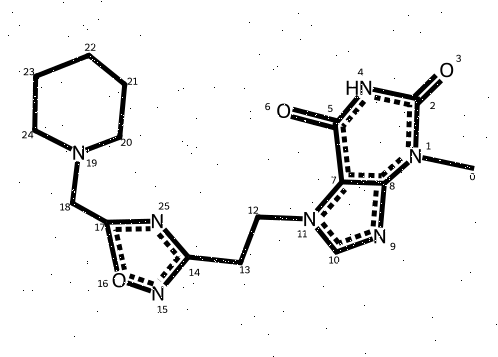 Cn1c(=O)[nH]c(=O)c2c1ncn2CCc1noc(CN2CCCCC2)n1